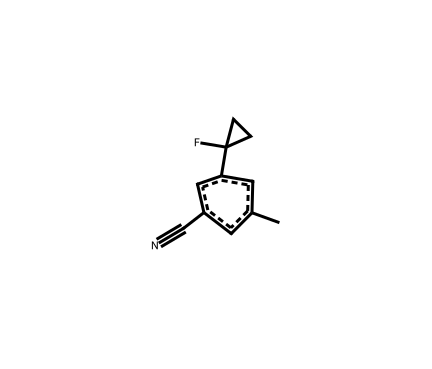 Cc1cc(C#N)cc(C2(F)CC2)c1